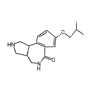 CC(C)COc1ccc2c(c1)C(=O)NCC1CNCC21